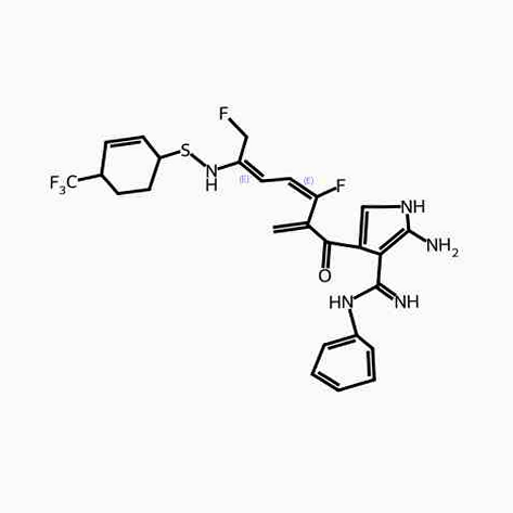 C=C(C(=O)c1c[nH]c(N)c1C(=N)Nc1ccccc1)/C(F)=C\C=C(/CF)NSC1C=CC(C(F)(F)F)CC1